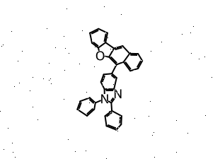 c1ccc(-c2nc3cc(-c4c5ccccc5cc5c4oc4ccccc45)ccc3n2-c2ccccc2)cc1